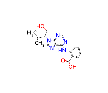 CC(C)C(CO)n1cnc2c(Nc3ccccc3C(=O)O)ncnc21